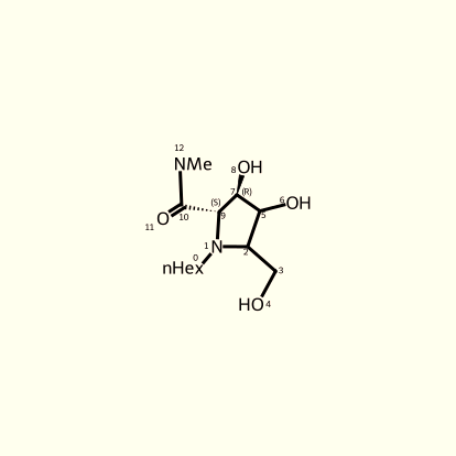 CCCCCCN1C(CO)C(O)[C@H](O)[C@H]1C(=O)NC